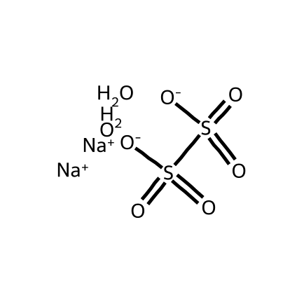 O.O.O=S(=O)([O-])S(=O)(=O)[O-].[Na+].[Na+]